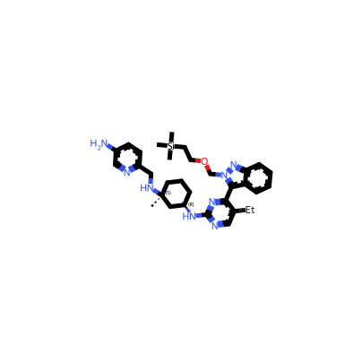 CCc1cnc(N[C@@H]2CCC[C@](C)(NCc3ccc(N)cn3)C2)nc1-c1c2ccccc2nn1COCC[Si](C)(C)C